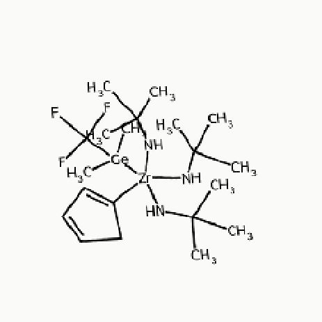 CC(C)(C)[NH][Zr]([NH]C(C)(C)C)([NH]C(C)(C)C)([C]1=CC=CC1)[Ge]([CH3])([CH3])[C](F)(F)F